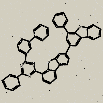 c1ccc(-c2cccc(-c3nc(-c4ccccc4)nc(-c4cccc5c4sc4cc(-c6cc(-c7ccccc7)c7sc8ccccc8c7c6)ccc45)n3)c2)cc1